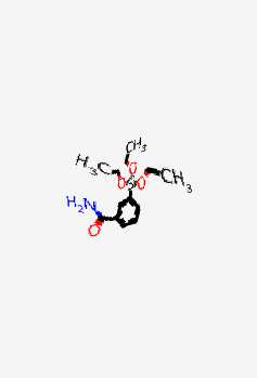 CCO[Si](OCC)(OCC)c1cccc(C(N)=O)c1